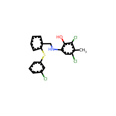 Cc1c(Cl)cc(NCc2ccccc2Sc2cccc(Cl)c2)c(O)c1Cl